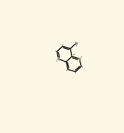 Brc1ccnc2cccnc12